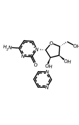 Nc1ccn([C@@H]2O[C@H](CO)[C@@H](O)[C@H]2O)c(=O)n1.c1cncnc1